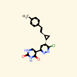 Cc1ccc(/C=C/[C@H]2C[C@@H]2c2cc(-c3c[nH]c(=O)[nH]c3=O)nnc2Cl)cc1